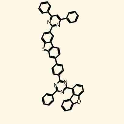 c1ccc(-c2cc(-c3ccccc3)nc(-c3ccc4sc5cc(-c6ccc(-c7nc(-c8ccccc8)nc(-c8cccc9oc%10ccccc%10c89)n7)cc6)ccc5c4c3)n2)cc1